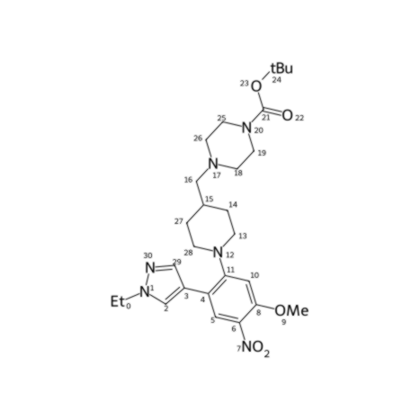 CCn1cc(-c2cc([N+](=O)[O-])c(OC)cc2N2CCC(CN3CCN(C(=O)OC(C)(C)C)CC3)CC2)cn1